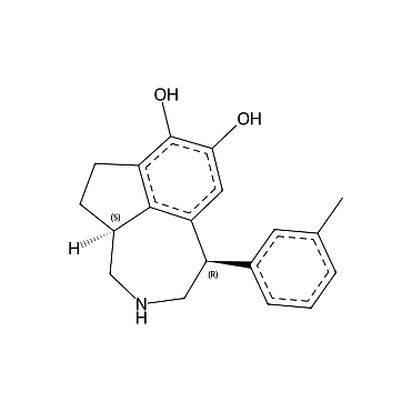 Cc1cccc([C@H]2CNC[C@H]3CCc4c(O)c(O)cc2c43)c1